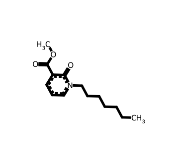 CCCCCCCn1cccc(C(=O)OC)c1=O